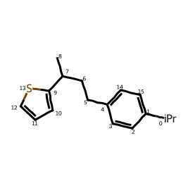 CC(C)c1ccc(CCC(C)c2cccs2)cc1